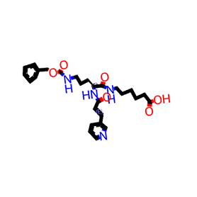 O=C(O)CCCCCNC(=O)[C@H](CCCNC(=O)OCc1ccccc1)NC(=O)/C=C/c1cccnc1